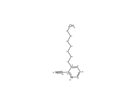 CCCCCCCCc1cccnc1C#N